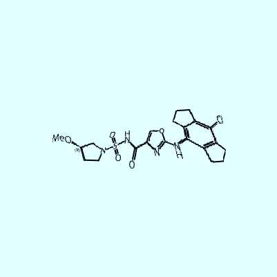 CO[C@@H]1CCN(S(=O)(=O)NC(=O)c2coc(Nc3c4c(c(Cl)c5c3CCC5)CCC4)n2)C1